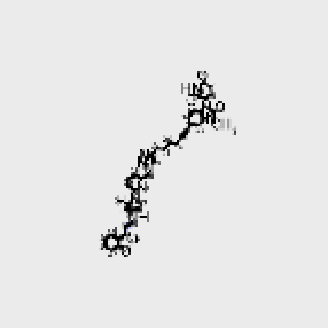 Cn1c(=O)n(C2CCC(=O)NC2=O)c2ccc(C#CCCCCc3cn(Cc4cccc(N5C[C@H]6C[C@@H]5CN6/C=C/C(=O)c5ccccc5O)n4)nn3)cc21